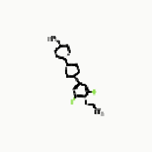 CCC[C@H]1CC[C@H]([C@H]2CC[C@H](c3cc(F)c(CCC(F)(F)F)c(F)c3)CC2)CC1